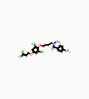 CN(CCCCOc1c(Cl)cc(OCC=C(Cl)Cl)cc1Cl)C(=O)c1ccc(C(F)(F)F)cc1